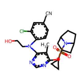 Cc1c(OC2CC3CCC(C2)N3S(=O)(=O)C2CC2)ncnc1N(CCO)c1ccc(C#N)cc1Cl